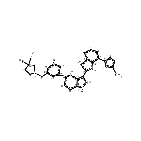 Cc1ccc(-c2cccc3[nH]c(-c4n[nH]c5ccc(-c6cncc(CN7CCC(F)(F)C7)c6)nc45)nc23)s1